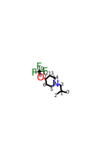 CC(C)CN1CCC(OC(F)(F)F)CC1